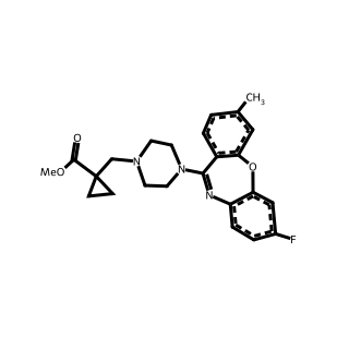 COC(=O)C1(CN2CCN(C3=Nc4ccc(F)cc4Oc4cc(C)ccc43)CC2)CC1